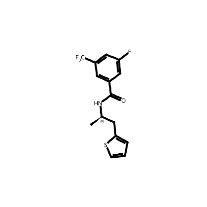 C[C@H](Cc1cccs1)NC(=O)c1cc(F)cc(C(F)(F)F)c1